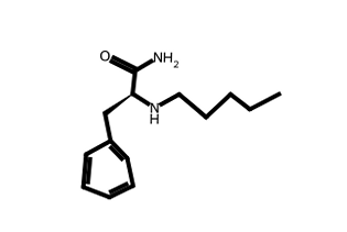 CCCCCN[C@@H](Cc1ccccc1)C(N)=O